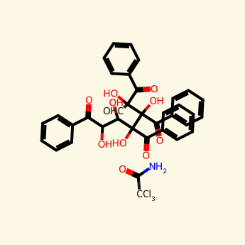 NC(=O)C(Cl)(Cl)Cl.O=CC(O)(C(=O)c1ccccc1)C(O)(C(=O)c1ccccc1)C(O)(C(=O)c1ccccc1)C(O)C(O)C(=O)c1ccccc1